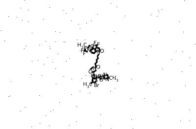 CC[C@@H]1COc2c(ccc3c2c(C(F)(F)F)cc(=O)n3CCCCCCC(=O)N2CCO[C@H](COc3cc(C)c(Br)cc3NC(=O)Nc3cnc(C)cn3)C2)N1CC(F)(F)F